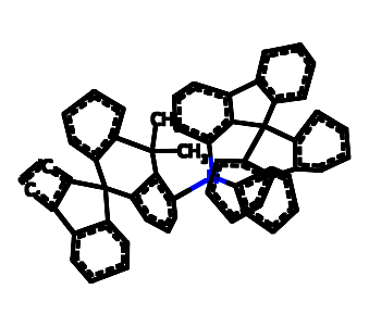 CC1(C)c2ccccc2C2(c3ccccc3-c3ccccc32)c2cccc(N(c3ccccc3)c3cccc4c3C3(c5ccccc5-c5ccccc53)c3ccccc3-4)c21